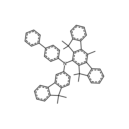 Cc1c2c(c(N(c3ccc(-c4ccccc4)cc3)c3ccc4c(c3)-c3ccccc3C4(C)C)c3c1-c1ccccc1C3(C)C)C(C)(C)c1ccccc1-2